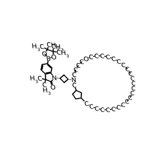 CC1(C)C(=O)N([C@H]2C[C@@H](N3CCCCOCCCCCCCCCCCCCCCCCCCCCCCC4CCC(C4)C3)C2)c2cc(B3OC(C)(C)C(C)(C)O3)ccc21